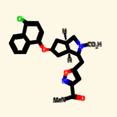 CNC(=O)c1cc(CC2[C@H]3C[C@@H](Oc4ccc(Cl)c5ccccc45)C[C@H]3CN2C(=O)O)on1